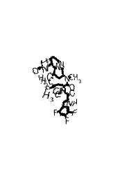 CC(CC(C#N)N(C)C(=O)C(CC(C)(C)F)N(C)C(=O)c1cc2c(F)cc(F)c(F)c2[nH]1)c1ncccc1NC=O